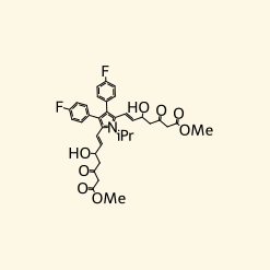 COC(=O)CC(=O)CC(O)C=Cc1c(-c2ccc(F)cc2)c(-c2ccc(F)cc2)c(C=CC(O)CC(=O)CC(=O)OC)n1C(C)C